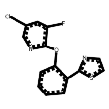 Fc1cc(Cl)cnc1Oc1ccccc1-c1nccs1